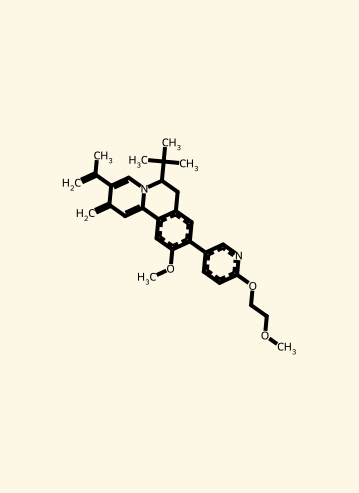 C=C(C)C1=CN2C(=CC1=C)c1cc(OC)c(-c3ccc(OCCOC)nc3)cc1CC2C(C)(C)C